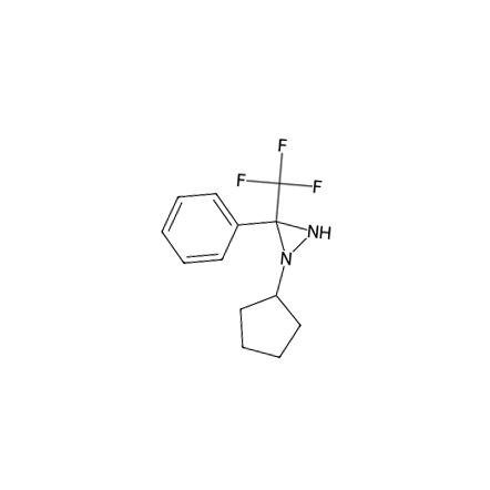 FC(F)(F)C1(c2ccccc2)NN1C1CCCC1